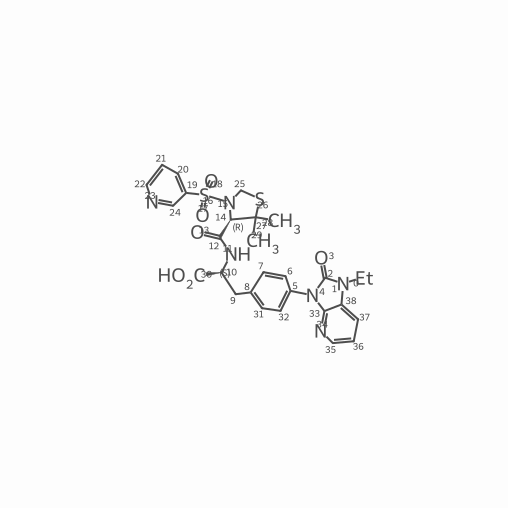 CCn1c(=O)n(-c2ccc(C[C@H](NC(=O)[C@H]3N(S(=O)(=O)c4cccnc4)CSC3(C)C)C(=O)O)cc2)c2ncccc21